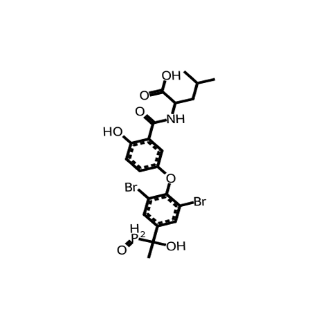 CC(C)CC(NC(=O)c1cc(Oc2c(Br)cc(C(C)(O)[PH2]=O)cc2Br)ccc1O)C(=O)O